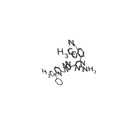 COc1c(C#N)cccc1-c1cc(-c2cn(Cc3cccc([C@@H](C)C4CCCCC4)n3)nn2)nc(N)n1